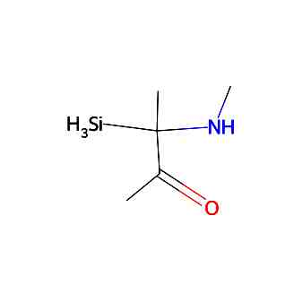 CNC(C)([SiH3])C(C)=O